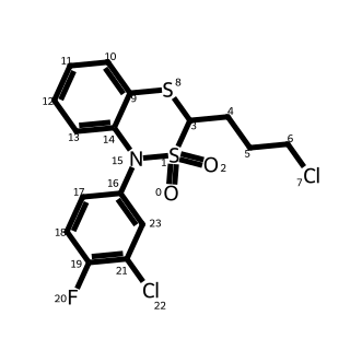 O=S1(=O)C(CCCCl)Sc2ccccc2N1c1ccc(F)c(Cl)c1